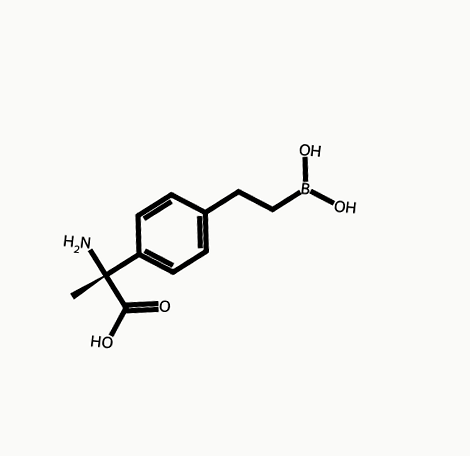 C[C@](N)(C(=O)O)c1ccc(CCB(O)O)cc1